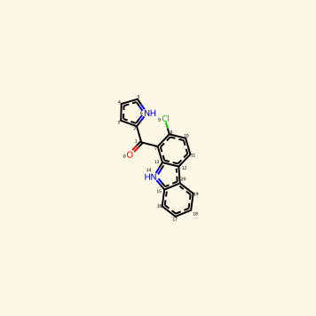 O=C(c1ccc[nH]1)c1c(Cl)ccc2c1[nH]c1ccccc12